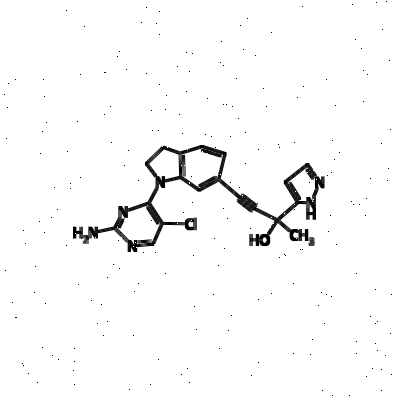 CC(O)(C#Cc1ccc2c(c1)N(c1nc(N)ncc1Cl)CC2)c1ccn[nH]1